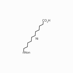 CCCCCCCCCCCCCCCCCCCC(=O)O.[Ni]